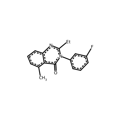 CCc1nc2cccc(C)c2c(=O)n1-c1cccc(F)c1